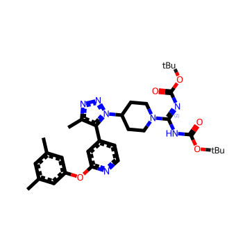 Cc1cc(C)cc(Oc2cc(-c3c(C)nnn3C3CCN(/C(=N\C(=O)OC(C)(C)C)NC(=O)OC(C)(C)C)CC3)ccn2)c1